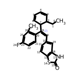 CCC1C=CC=CC1/C(=C/c1ccc2sc(=O)[nH]c2c1)c1ccc(F)cc1C